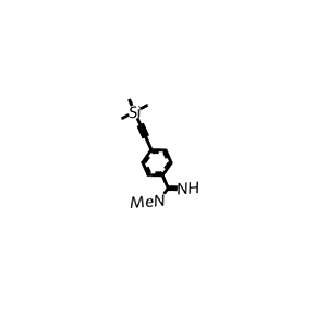 CNC(=N)c1ccc(C#C[Si](C)(C)C)cc1